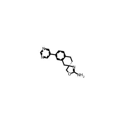 NC1=N[C@@]2(CCc3ccc(-c4cncnc4)cc3C2)CO1